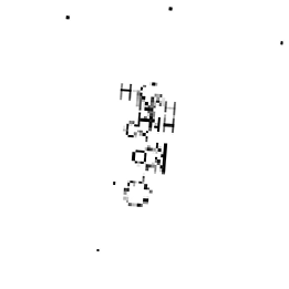 O=C(N[C@@H]1C[C@H]2CC[C@@H]1N2)c1nnc(-c2ccccc2)o1